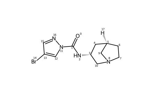 O=C(N[C@@H]1C[C@H]2CCN(C2)C1)n1cc(Br)cn1